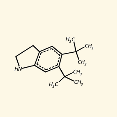 CC(C)(C)c1cc2c(cc1C(C)(C)C)NCC2